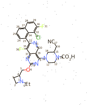 CCN1CCC1COc1nc(N2CCN(C(=O)O)C(CC#N)C2)c2cnc(-c3cccc4ccc(F)c(Cl)c34)c(F)c2n1